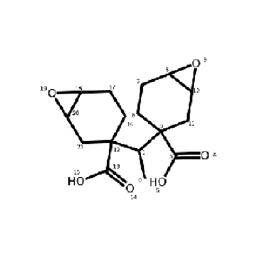 CC(C1(C(=O)O)CCC2OC2C1)C1(C(=O)O)CCC2OC2C1